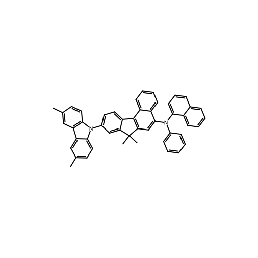 Cc1ccc2c(c1)c1cc(C)ccc1n2-c1ccc2c(c1)C(C)(C)c1cc(N(c3ccccc3)c3cccc4ccccc34)c3ccccc3c1-2